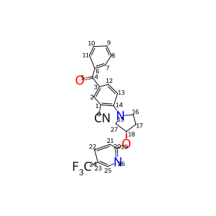 N#Cc1cc(C(=O)c2ccccc2)ccc1N1CC[C@@H](Oc2ccc(C(F)(F)F)cn2)C1